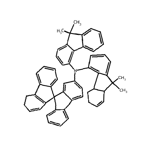 CC1(C)c2ccccc2-c2c(N(c3ccc4c(c3)C3(C5=C(CCC=C5)c5ccccc53)c3ccccc3-4)c3cccc4c3C3CCC=CC3C4(C)C)cccc21